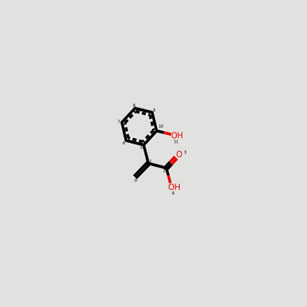 C=C(C(=O)O)c1ccccc1O